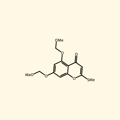 COCOc1cc(OCOC)c2c(=O)cc(SC)oc2c1